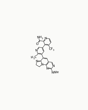 CNc1ncc2c(n1)N1CCN=C1C(c1cc(-c3c(C(F)(F)F)ccnc3C(N)=O)cnc1C)=C2